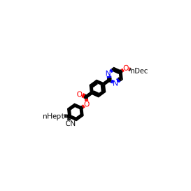 CCCCCCCCCCOc1cnc(-c2ccc(C(=O)OC3CCC(C#N)(CCCCCCC)CC3)cc2)nc1